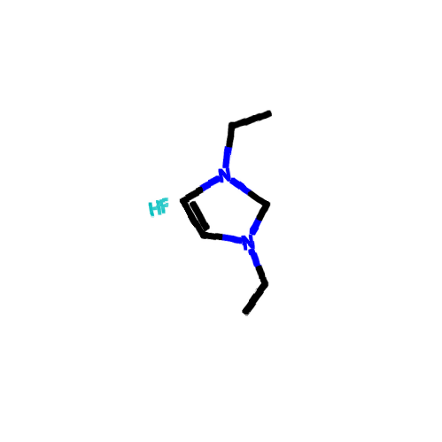 CCN1C=CN(CC)C1.F